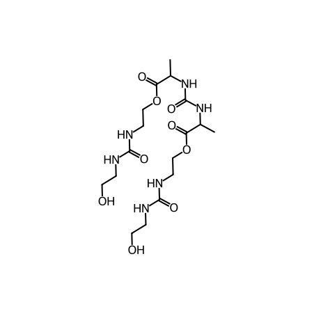 CC(NC(=O)NC(C)C(=O)OCCNC(=O)NCCO)C(=O)OCCNC(=O)NCCO